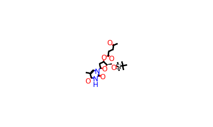 CC(=O)CCC(=O)OC1C[C@H](n2cc(C)c(=O)[nH]c2=O)O[C@@H]1CO[Si](C)(C)C(C)(C)C